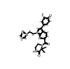 CC1(C)C(=O)NCCN1C(=O)c1ccc2c(-c3ccc(Cl)c(F)c3)cn(CCn3cncn3)c2n1